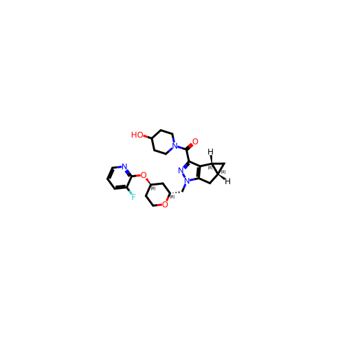 O=C(c1nn(C[C@H]2C[C@H](Oc3ncccc3F)CCO2)c2c1[C@@H]1C[C@@H]1C2)N1CCC(O)CC1